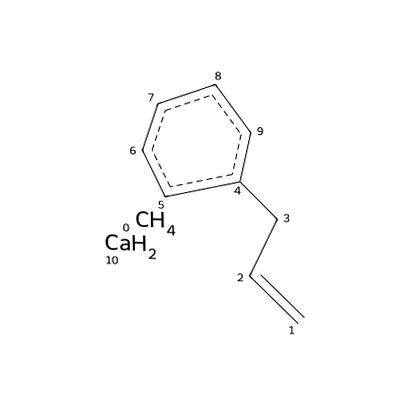 C.C=CCc1ccccc1.[CaH2]